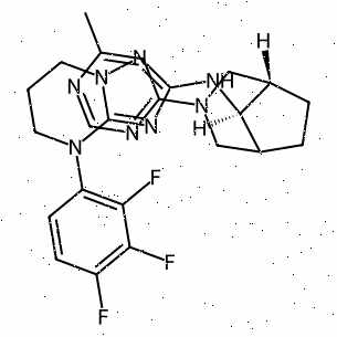 Cc1cc(N2CC3CC[C@@H](C2)[C@@H]3Nc2nc3n(n2)CCCN3c2ccc(F)c(F)c2F)ncn1